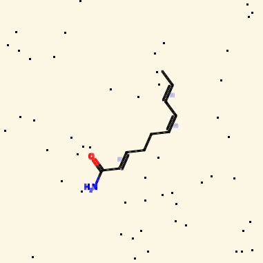 C/C=C/C=C\CC/C=C/C(N)=O